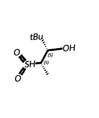 C[C@@H]([C@@H](O)C(C)(C)C)[SH](=O)=O